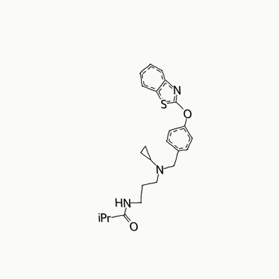 CC(C)C(=O)NCCCN(Cc1ccc(Oc2nc3ccccc3s2)cc1)C1CC1